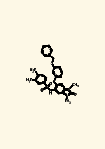 Cc1ccc(S(=O)(=O)Nc2cc3c(cc2Oc2cccc(OCc4ccccc4)c2)n(C)c(=O)n3C)cc1C